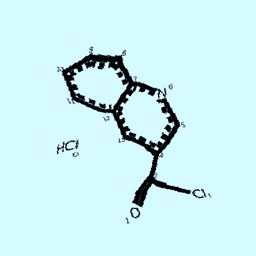 Cl.O=C(Cl)c1cnc2ccccc2c1